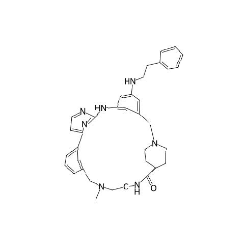 CN1CCNC(=O)C2CCN(CC2)Cc2cc(NCCc3ccccc3)cc(c2)Nc2nccc(n2)-c2cccc(c2)C1